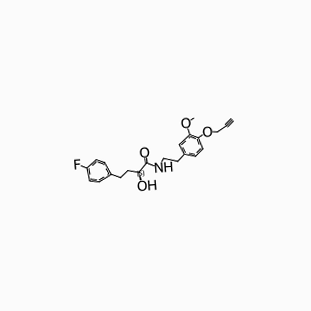 C#CCOc1ccc(CCNC(=O)[C@@H](O)CCc2ccc(F)cc2)cc1OC